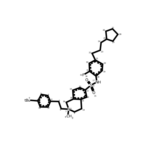 CC(C)(C)c1ccc(CC[N+]2(C)CCc3cc(S(=O)(=O)Nc4ccc(CCCC5CCCC5)cc4F)ccc3C2)cc1